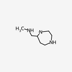 CNCC1CCNCC[N]1